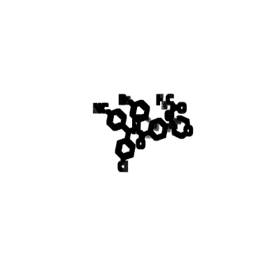 N#Cc1ccc(C(NC(=O)[C@@H]2CC[C@@H]([N+]3(OC(=O)C(F)(F)F)CCOCC3)C[C@H]2c2ccc(Br)cc2)c2ccc(Cl)cc2)cc1